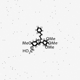 COc1cc(CN(CCCc2ccccc2)C(=O)c2cc(OC)c(OC)c(OC)c2)ccc1OCC(=O)O